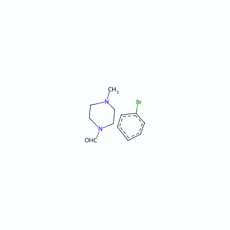 Brc1ccccc1.CN1CCN(C=O)CC1